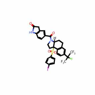 O=C1Cc2cc(C(=O)N3CC[C@@]4(S(=O)(=O)c5ccc(I)cc5)c5ccc(C(F)(C(F)(F)F)C(F)(F)F)cc5CC[C@@H]34)ccc2N1